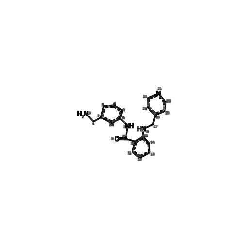 NCc1cccc(NC(=O)c2ccccc2NCc2ccncc2)c1